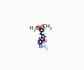 COc1ccc(/C=C2\CCn3c2nc2ccc(N)cc2c3=O)cc1OC